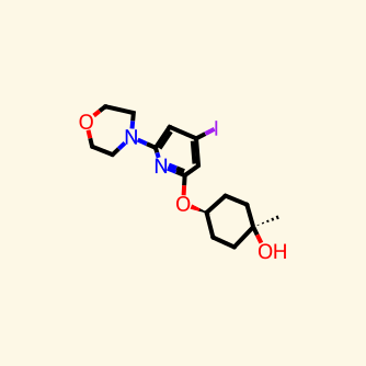 C[C@]1(O)CC[C@@H](Oc2cc(I)cc(N3CCOCC3)n2)CC1